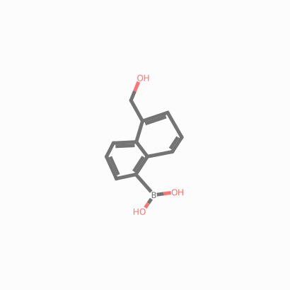 OCc1cccc2c(B(O)O)cccc12